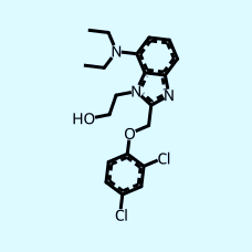 CCN(CC)c1cccc2nc(COc3ccc(Cl)cc3Cl)n(CCO)c12